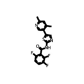 Cc1cc(C)c(-c2cnc(NC(=O)c3c(F)ccc(F)c3F)s2)cn1